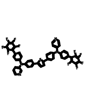 Fc1c(F)c(F)c(-c2ccc(N(c3ccncc3)c3ccc(-c4ccc(-c5ccc(N(c6ccc(-c7c(F)c(F)c(F)c(F)c7F)cc6)c6cccnc6)cc5)s4)cc3)cc2)c(F)c1F